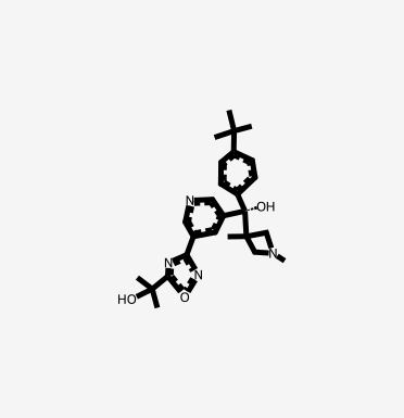 CN1CC(C)([C@](O)(c2ccc(C(C)(C)C)cc2)c2cncc(-c3noc(C(C)(C)O)n3)c2)C1